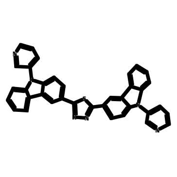 c1cncc(-n2c3ccccc3c3cc(-c4nnc(-c5ccc6c(c5)c5ccccc5n6-c5cccnc5)s4)ccc32)c1